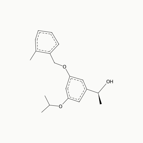 Cc1ccccc1COc1cc(OC(C)C)cc([C@H](C)O)c1